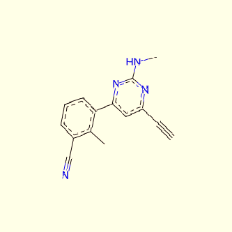 C#Cc1cc(-c2cccc(C#N)c2C)nc(NC)n1